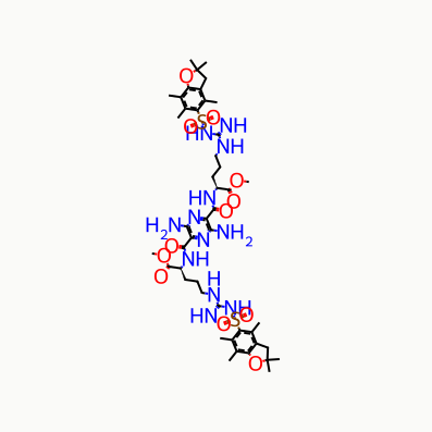 COC(=O)[C@H](CCCNC(=N)NS(=O)(=O)c1c(C)c(C)c2c(c1C)CC(C)(C)O2)NC(=O)c1nc(N)c(C(=O)N[C@@H](CCCNC(=N)NS(=O)(=O)c2c(C)c(C)c3c(c2C)CC(C)(C)O3)C(=O)OC)nc1N